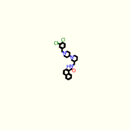 O=C(NCC1CCCN(C2CCN(Cc3ccc(Cl)c(Cl)c3)CC2)C1)c1cccc2ccccc12